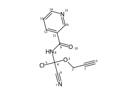 C#CCOC(Cl)(C#N)NC(=O)c1cccnc1